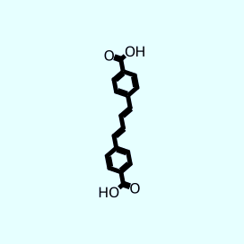 O=C(O)c1ccc(C=CC=Cc2ccc(C(=O)O)cc2)cc1